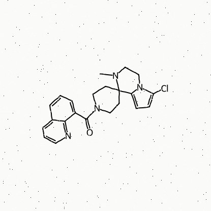 CN1CCn2c(Cl)ccc2C12CCN(C(=O)c1cccc3cccnc13)CC2